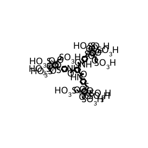 O=C(Nc1ccc(S[C@@H]2O[C@H](COS(=O)(=O)O)[C@@H](OS(=O)(=O)O)[C@H](OS(=O)(=O)O)[C@H]2OS(=O)(=O)O)cc1)c1cc(C(=O)Nc2ccc(S[C@@H]3O[C@H](COS(=O)(=O)O)[C@@H](OS(=O)(=O)O)[C@H](OS(=O)(=O)O)[C@H]3OS(=O)(=O)O)cc2)cc(C(=O)Nc2ccc(S[C@@H]3O[C@H](COS(=O)(=O)O)[C@@H](OS(=O)(=O)O)[C@H](OS(=O)(=O)O)[C@H]3OS(=O)(=O)O)cc2)c1